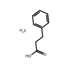 O=C(O)CCc1ccccc1.S